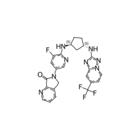 O=C1c2ncccc2CN1c1cnc(N[C@H]2CC[C@H](Nc3nc4cc(C(F)(F)F)ccn4n3)C2)c(F)c1